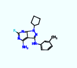 Cc1cccc(Nc2nn(C3CCCC3)c3nc(F)nc(N)c23)c1